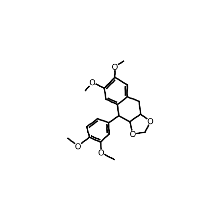 COc1ccc(C2c3cc(OC)c(OC)cc3CC3OCOC32)cc1OC